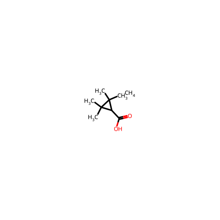 C.CC1(C)C(C(=O)O)C1(C)C